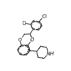 Clc1ccc(C2COc3cccc(C4CCNCC4)c3O2)c(Cl)c1